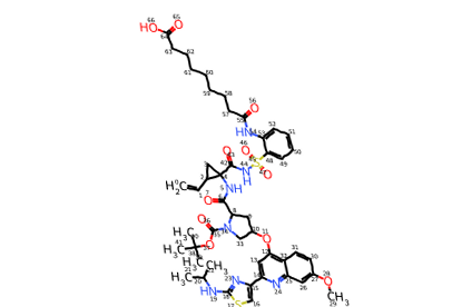 C=CC1CC1(NC(=O)C1CC(Oc2cc(-c3csc(NC(C)C)n3)nc3cc(OC)ccc23)CN1C(=O)OC(C)(C)C)C(=O)NS(=O)(=O)c1ccccc1NC(=O)CCCCCCCC(=O)O